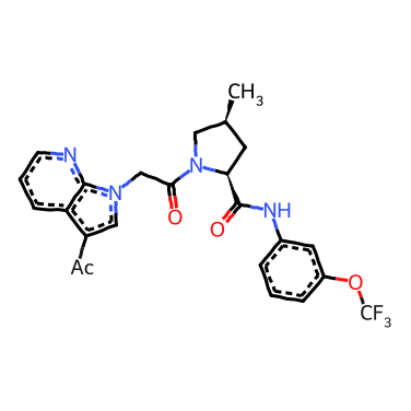 CC(=O)c1cn(CC(=O)N2C[C@@H](C)C[C@H]2C(=O)Nc2cccc(OC(F)(F)F)c2)c2ncccc12